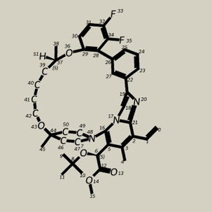 C=Cc1c(C)c([C@H](OC(C)(C)C)C(=O)OC)c2n3cc(nc13)-c1cccc(c1)-c1c(ccc(F)c1F)O[C@@H](C)CCCCOC1(C)CCN2CC1